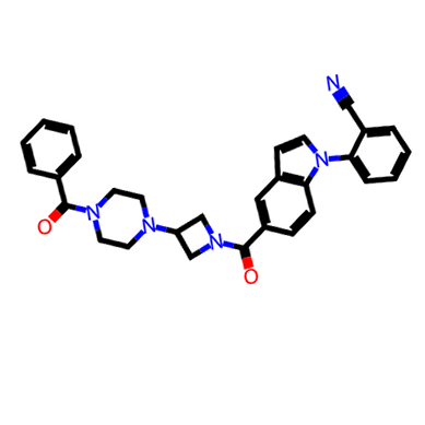 N#Cc1ccccc1-n1ccc2cc(C(=O)N3CC(N4CCN(C(=O)c5ccccc5)CC4)C3)ccc21